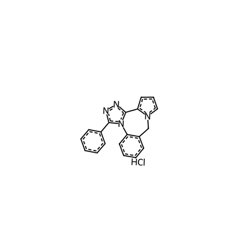 Cl.c1ccc(-c2nnc3n2-c2ccccc2Cn2cccc2-3)cc1